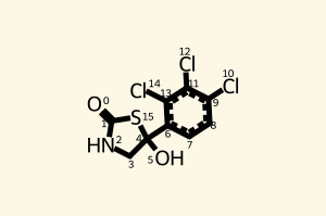 O=C1NCC(O)(c2ccc(Cl)c(Cl)c2Cl)S1